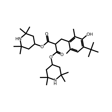 Cc1cc(C(C)(C)C)c(O)c(C)c1CC(C(=O)OC1CC(C)(C)NC(C)(C)C1)C(=O)OC1CC(C)(C)NC(C)(C)C1